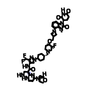 Cn1c(=O)n(C2CCC(=O)NC2=O)c2cccc(N3CC(CO[C@@H]4CCN(C[C@H]5CC[C@H](n6cc(NC(=O)/C(C=N)=C7\N=C(N8C[C@H]9CC8CO9)C=CN7)c(C(F)F)n6)CC5)C[C@H]4F)C3)c21